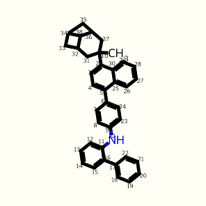 CC1(c2ccc(-c3ccc(Nc4ccccc4-c4ccccc4)cc3)c3ccccc23)CC2CC3CC(C1)C32